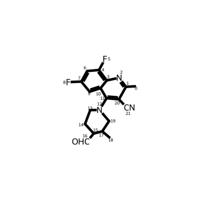 Cc1nc2c(F)cc(F)cc2c(N2CCC(C=O)C(C)C2)c1C#N